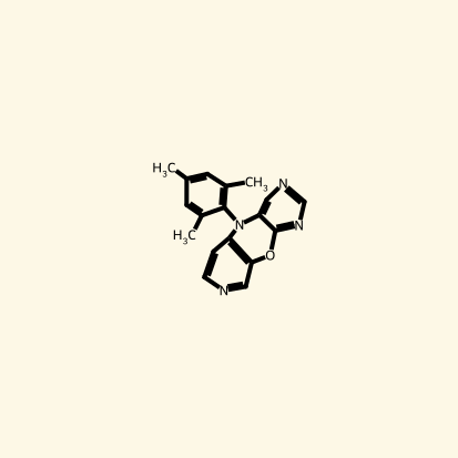 Cc1cc(C)c(N2c3ccncc3Oc3ncncc32)c(C)c1